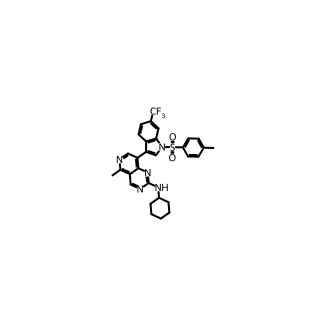 Cc1ccc(S(=O)(=O)n2cc(-c3cnc(C)c4cnc(NC5CCCCC5)nc34)c3ccc(C(F)(F)F)cc32)cc1